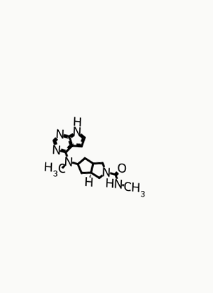 CNC(=O)N1CC2CC(N(C)c3ncnc4[nH]ccc34)C[C@@H]2C1